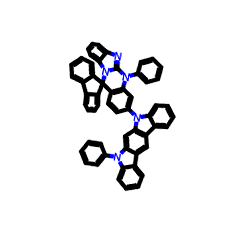 c1ccc(N2c3cc(-n4c5ccccc5c5cc6c7ccccc7n(-c7ccccc7)c6cc54)ccc3C3(c4ccccc4-c4ccccc43)n3c2nc2ccccc23)cc1